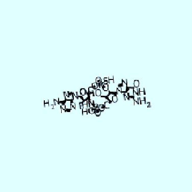 Nc1nc2c(ncn2C2OC3COP(=O)(O)NC4C(CO[P@@](=O)(S)OC2C3CO)OC(n2cnc3c(N)ncnc32)C4F)c(=O)[nH]1